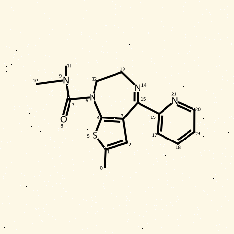 Cc1cc2c(s1)N(C(=O)N(C)C)CCN=C2c1ccccn1